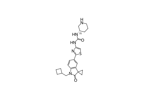 O=C(Nc1csc(-c2ccc3c(c2)C2(CC2)C(=O)N3CC2CCC2)n1)N[C@H]1CCCNC1